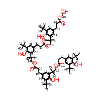 CC(C)(C)c1cc(CCC(=O)OCC(C)(C)c2cc(CCC(=O)OCC(C)(C)c3cc(CCC(=O)OCC(C)(C)c4cc(CCC(=O)OCO)cc(C(C)(C)C)c4O)cc(C(C)(C)C)c3O)cc(C(C)(C)C)c2O)cc(C(C)(C)C)c1O